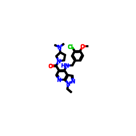 CCn1ncc2c(NCc3ccc(OC)c(Cl)c3)c(C(=O)N3CCC(N(C)C)C3)cnc21